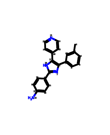 Cc1cccc(-c2nc(-c3ccc(N)cc3)[nH]c2-c2ccncc2)c1